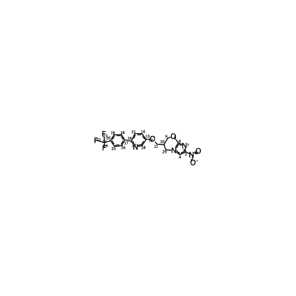 O=[N+]([O-])c1cn2c(n1)OCC(COc1ccc(-c3ccc(C(F)(F)F)cc3)nc1)C2